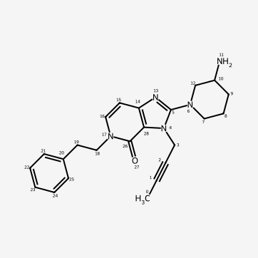 CC#CCn1c(N2CCCC(N)C2)nc2ccn(CCc3ccccc3)c(=O)c21